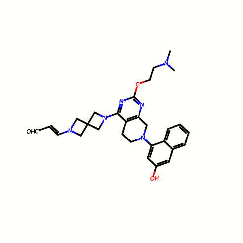 CN(C)CCOc1nc2c(c(N3CC4(CN(C=CC=O)C4)C3)n1)CCN(c1cc(O)cc3ccccc13)C2